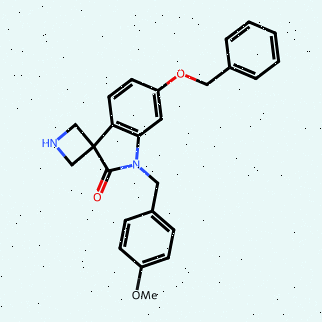 COc1ccc(CN2C(=O)C3(CNC3)c3ccc(OCc4ccccc4)cc32)cc1